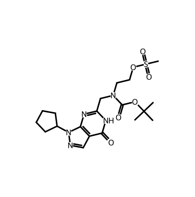 CC(C)(C)OC(=O)N(CCOS(C)(=O)=O)Cc1nc2c(cnn2C2CCCC2)c(=O)[nH]1